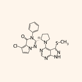 CSc1n[nH]c2ncnc(N3CCC[C@H]3c3nn4ccc(Cl)c4c(=O)n3-c3ccccc3)c12